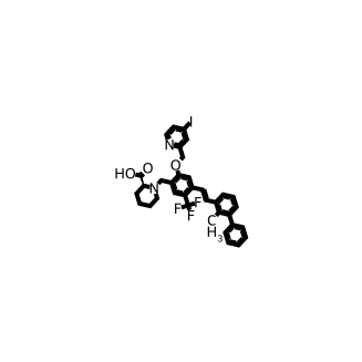 Cc1c(/C=C/c2cc(OCc3cc(I)ccn3)c(CN3CCCC[C@H]3C(=O)O)cc2C(F)(F)F)cccc1-c1ccccc1